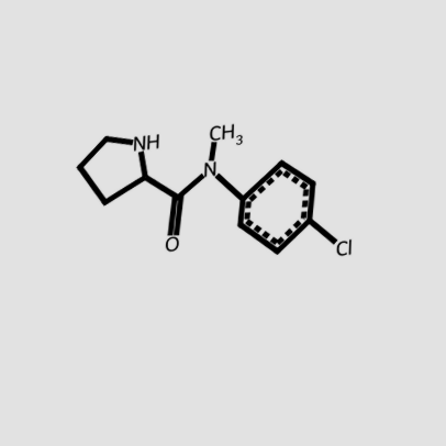 CN(C(=O)C1CCCN1)c1ccc(Cl)cc1